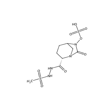 CS(=O)(=O)NNC(=O)[C@@H]1CCC2CN1C(=O)N2OS(=O)(=O)O